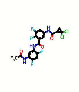 O=C(Nc1cc(NC(=O)C(F)(F)F)c(F)cc1F)c1cc(NC(=O)C2CC2(Cl)Cl)cc(F)c1F